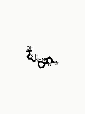 CC(C)(O)c1ccc(CN[C@@H]2CCCc3c2[nH]c2ccc(Br)nc32)s1